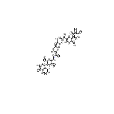 COc1cc(-c2cn(C)c(=O)c3cnccc23)c(OC)cc1/C=C/C(=O)N1CCC(OC2CCN(C(=O)c3ccc(OC)c(N4CCC(=O)NC4=O)c3)CC2)CC1